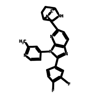 Cc1cc(-n2c(-c3ccc(F)c(F)c3)nc3ccc(N4CC5CCC4CN5)nc32)ccn1